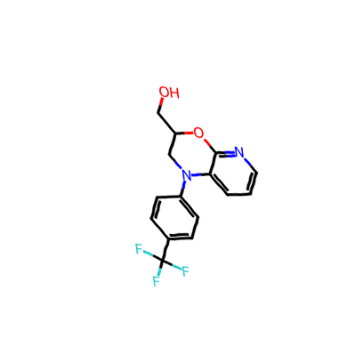 OCC1CN(c2ccc(C(F)(F)F)cc2)c2cccnc2O1